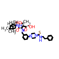 C[C@@H]1[C@@H](NC(=O)[C@@H]2[C@H]([C@H](C)O)[C@H](CO)ON2Cc2cccc(N3CCN(C(=S)NCCc4ccccc4)CC3)c2)C[C@H]2C[C@@H]1C2(C)C